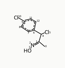 CC(=NO)C(Cl)c1ccc(Cl)cc1